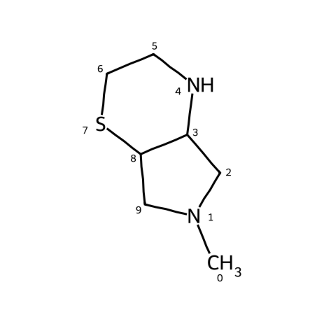 CN1CC2NCCSC2C1